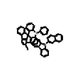 CC1C=CC2=C(C1c1ccc3c(c1)c1ccccc1n3-c1ccc3ccccc3c1)C1(c3ccccc32)c2ccccc2N(c2ccccc2)c2ccccc21